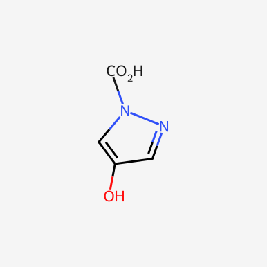 O=C(O)n1cc(O)cn1